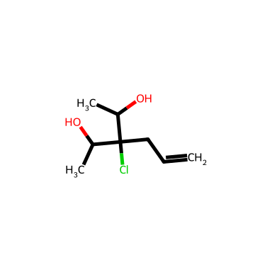 C=CCC(Cl)(C(C)O)C(C)O